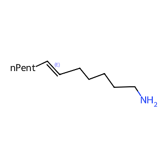 CCCCC/C=C/CCCCCN